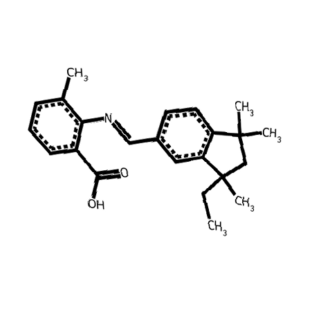 CCC1(C)CC(C)(C)c2ccc(C=Nc3c(C)cccc3C(=O)O)cc21